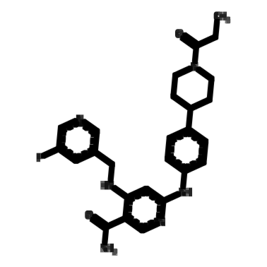 CCC(=O)N1CCC(c2ccc(Nc3cc(NCc4cncc(F)c4)c(C(N)=O)cn3)cc2)CC1